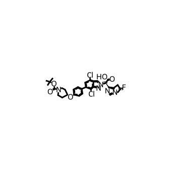 CC(C)(C)OC(=O)N1CCC(Oc2ccc(-c3cc(Cl)c4cn([C@@H](C(=O)O)c5ncn6c5C[C@@H](F)C6)nc4c3Cl)cc2)CC1